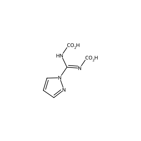 O=C(O)N=C(NC(=O)O)n1cccn1